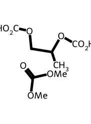 CC(COC(=O)O)OC(=O)O.COC(=O)OC